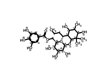 CCCCC1C(O)C(C)C(O)C(C)(C)C1O[C@@H]1O[C@H](COC(=O)c2cc(O)c(O)c(O)c2)[C@@H](O)[C@H](O)[C@H]1O